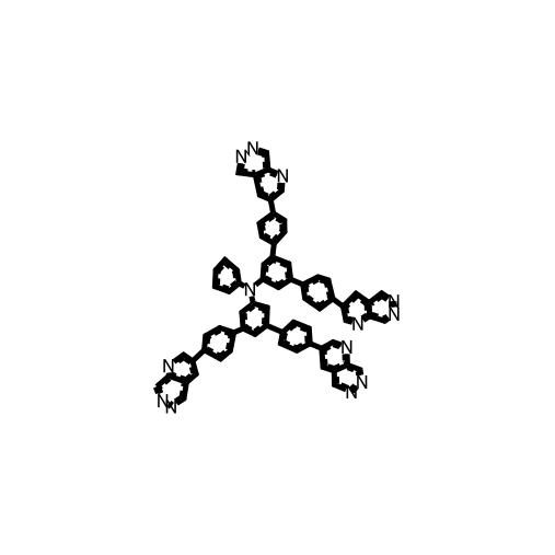 c1ccc(N(c2cc(-c3ccc(-c4cnc5cnncc5c4)cc3)cc(-c3ccc(-c4cnc5cnncc5c4)cc3)c2)c2cc(-c3ccc(-c4cnc5cnncc5c4)cc3)cc(-c3ccc(-c4cnc5cnncc5c4)cc3)c2)cc1